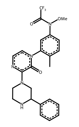 CON(C(=O)C(F)(F)F)c1ccc(C)c(-n2ccnc(N3CCNC(c4ccccc4)C3)c2=O)c1